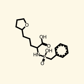 O=C(O)C(CCCC1CCCO1)NP(=O)(O)Cc1ccccc1